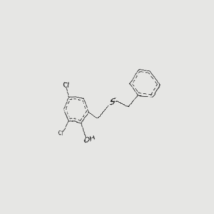 Oc1c(Cl)cc(Cl)cc1CSCc1ccccc1